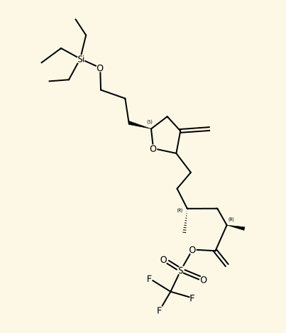 C=C1C[C@H](CCCO[Si](CC)(CC)CC)OC1CC[C@@H](C)C[C@@H](C)C(=C)OS(=O)(=O)C(F)(F)F